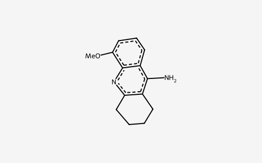 COc1cccc2c(N)c3c(nc12)CCCC3